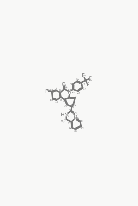 C[C@H](NC(=O)c1ccc2c(c1)c1ccc(F)cc1c(=O)n2-c1ccc(C(F)(F)F)cc1)c1ccccn1